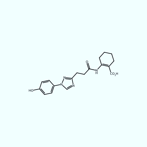 O=C(CCc1ncn(-c2ccc(O)cc2)n1)NC1=C(C(=O)O)CCCC1